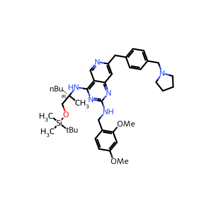 CCCC[C@](C)(CO[Si](C)(C)C(C)(C)C)Nc1nc(NCc2ccc(OC)cc2OC)nc2cc(Cc3ccc(CN4CCCC4)cc3)ncc12